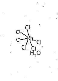 O.[Cl][Rh]([Cl])([Cl])([Cl])([Cl])[Cl]